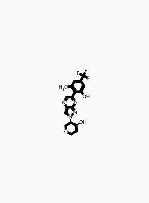 Cc1cc(C(F)(F)F)cc(O)c1-c1cnc2cn([C@H]3COCC[C@@H]3O)nc2n1